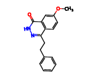 COc1ccc2c(CCc3ccccc3)n[nH]c(=O)c2c1